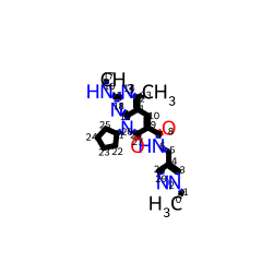 CCn1cc(CNC(=O)c2cc3c(C)nc(NC)nc3n(C3CCCC3)c2=O)cn1